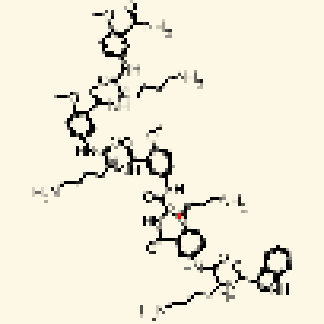 COc1ccc(NC(=O)[C@H](CCCCN)NC(=O)c2cc(NC(=O)[C@H](CCCCN)NC(=O)c3cc(NC(=O)[C@H](CCCCN)NC(=O)c4cc(NC(=O)[C@H](CCCCN)NC(=O)c5c[nH]c6ccccc56)ccc4OC)ccc3OC)ccc2OC)cc1C(N)=O